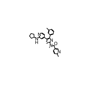 Cc1cccc(-c2nc(N(C)C(=O)c3ccc(C)nc3)sc2-c2ccnc(NC3CCCC3)c2)c1